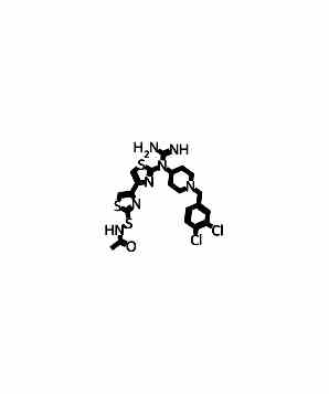 CC(=O)NSc1nc(-c2csc(N(C(=N)N)C3CCN(Cc4ccc(Cl)c(Cl)c4)CC3)n2)cs1